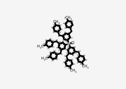 Cc1ccc(Cc2cc(Cc3ccc(C)cc3)cc([Si](Cl)(c3cc(Cc4ccc(C)cc4)cc(Cc4ccc(C)cc4)c3)c3cc(Cc4ccc(C)cc4)cc(Cc4ccc(C)cc4)c3)c2)cc1